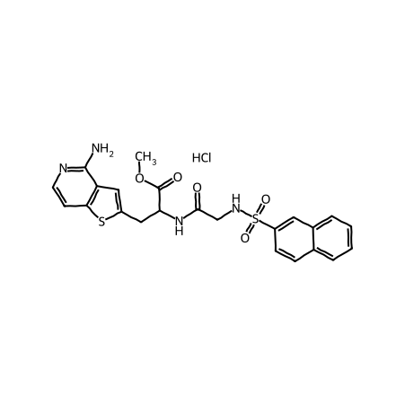 COC(=O)C(Cc1cc2c(N)nccc2s1)NC(=O)CNS(=O)(=O)c1ccc2ccccc2c1.Cl